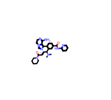 CN(C)C(/C=C/C(=O)N1CCCCC1)c1cc(C(=O)Nc2ccccn2)ccc1-c1ncn2ccnc(N)c12